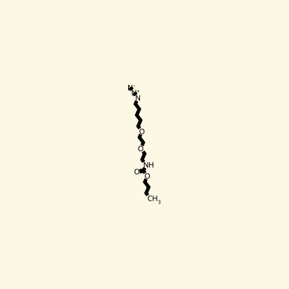 CCCCOC(=O)NCCOCCOCCCCCN=[N+]=[N-]